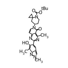 Cc1c(O)c(-c2nc(C)c3c(=O)n([C@@H]4CCN(C(=O)OC(C)(C)C)C5(CC5)C4)ccc3n2)cc2cn(C)nc12